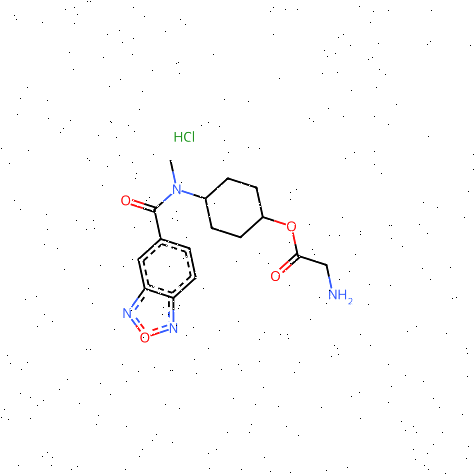 CN(C(=O)c1ccc2nonc2c1)C1CCC(OC(=O)CN)CC1.Cl